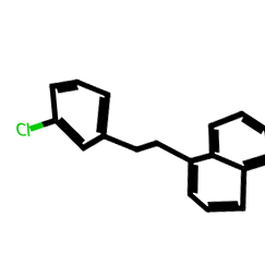 Clc1cccc(C[CH]c2cccc3ccccc23)c1